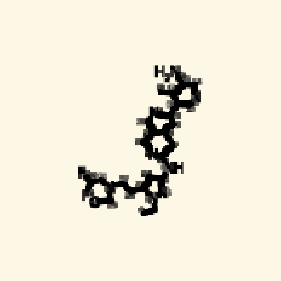 CCn1nc(Nc2cc3cc(-c4cncc(N)c4C)ncc3cn2)cc1CCN(C=O)CC(F)F